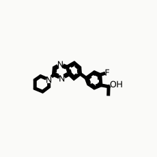 CC(O)c1ccc(-c2ccc3ncc(N4CCCCC4)nc3c2)cc1F